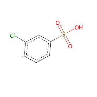 O=S(=O)(O)c1cc[c]c(Cl)c1